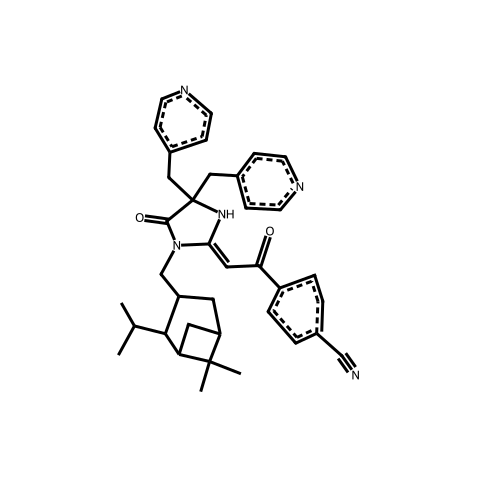 CC(C)C1C(CN2C(=O)C(Cc3ccncc3)(Cc3ccncc3)NC2=CC(=O)c2ccc(C#N)cc2)CC2CC1C2(C)C